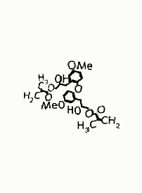 C=C(C)C(=O)OCC(O)Cc1cc(OC)ccc1Oc1ccc(OC)cc1CC(O)COC(=O)C(=C)C